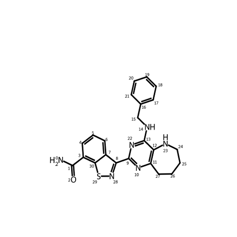 NC(=O)c1cccc2c(-c3nc4c(c(NCc5ccccc5)n3)NCCCC4)nsc12